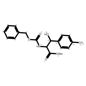 COC(=O)C(NC(=O)OCc1ccccc1)C(O)c1ccc(C)cc1